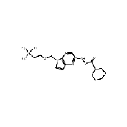 C[Si](C)(C)CCOCn1ccc2nc(NNC(=O)C3CCCCC3)cnc21